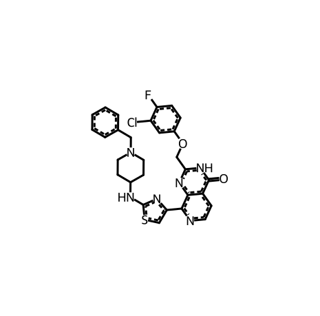 O=c1[nH]c(COc2ccc(F)c(Cl)c2)nc2c(-c3csc(NC4CCN(Cc5ccccc5)CC4)n3)nccc12